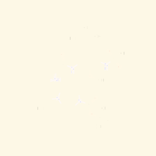 COc1c(NC(=O)c2cc3cccc(C(C)N4CCCN(C(=O)OC(C)(C)C)CC4)c3[nH]2)cc(C(C)(C)C)cc1NS(C)(=O)=O